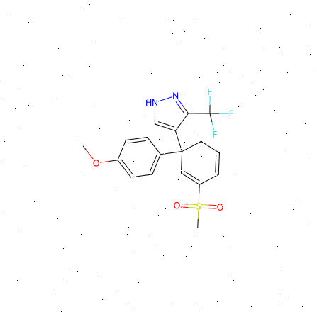 COc1ccc(C2(c3c[nH]nc3C(F)(F)F)C=C(S(C)(=O)=O)C=CC2)cc1